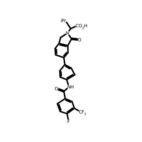 CC(C)C(C(=O)O)N1Cc2ccc(-c3ccc(NC(=O)c4ccc(F)c(C(F)(F)F)c4)cc3)cc2C1=O